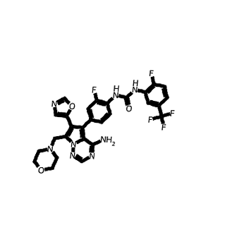 Nc1ncnn2c(CN3CCOCC3)c(-c3cnco3)c(-c3ccc(NC(=O)Nc4cc(C(F)(F)F)ccc4F)c(F)c3)c12